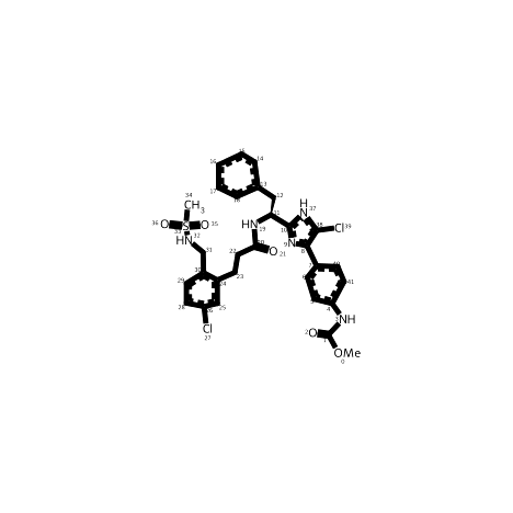 COC(=O)Nc1ccc(-c2nc([C@H](Cc3ccccc3)NC(=O)CCc3cc(Cl)ccc3CNS(C)(=O)=O)[nH]c2Cl)cc1